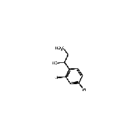 O=C(O)CC(O)c1ccc(Cl)cc1Cl